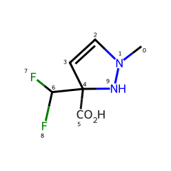 CN1C=CC(C(=O)O)(C(F)F)N1